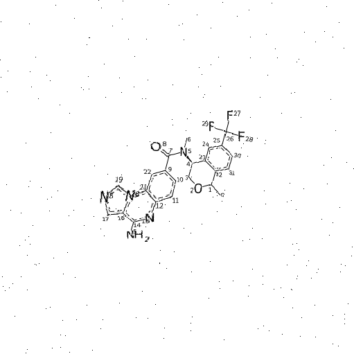 CC1OC[C@@H](N(C)C(=O)c2ccc3nc(N)c4cncn4c3c2)c2cc(C(F)(F)F)ccc21